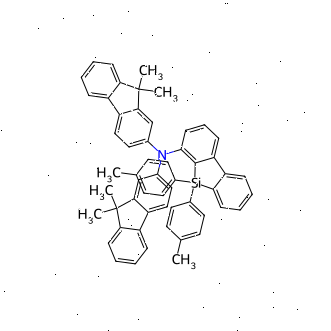 Cc1ccc([Si]2(c3ccc(C)cc3)c3ccccc3-c3cccc(N(c4ccc5c(c4)C(C)(C)c4ccccc4-5)c4ccc5c(c4)C(C)(C)c4ccccc4-5)c32)cc1